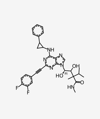 CNC(=O)C(C)(C(C)C)C(O)[C@@H](O)n1cnc2c(NC3CC3c3ccccc3)nc(C#Cc3ccc(F)c(F)c3)nc21